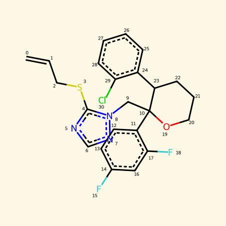 C=CCSc1ncnn1CC1(c2ccc(F)cc2F)OCCCC1c1ccccc1Cl